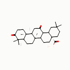 CC1(C)CC[C@]2(C(=O)O)CC[C@]3(C)C(C(=O)C[C@@H]4[C@@]5(C)CCC(=O)C(C)(C)[C@@H]5CC[C@]43C)C2C1